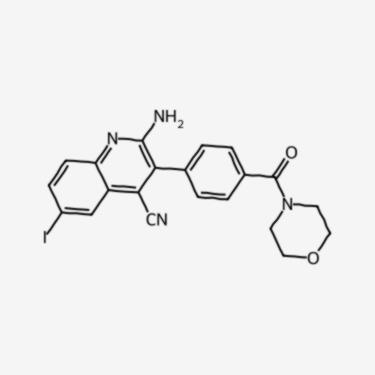 N#Cc1c(-c2ccc(C(=O)N3CCOCC3)cc2)c(N)nc2ccc(I)cc12